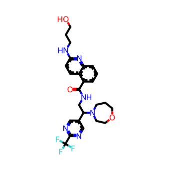 O=C(NCC(c1cnc(C(F)(F)F)nc1)N1CCCOCC1)c1cccc2nc(NCCCO)ccc12